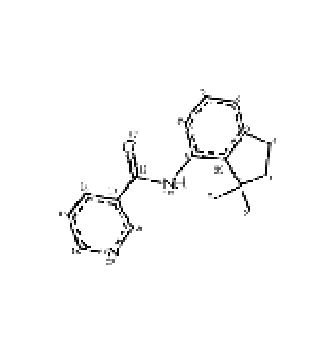 CC1(C)CCc2cccc(NC(=O)c3cccnc3)c21